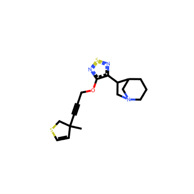 CC1(C#CCOc2nsnc2C2CN3CCCC2C3)C=CSC1